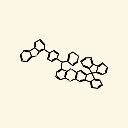 C1=CC(N(c2ccc(-c3cccc4c3oc3ccccc34)cc2)c2cccc3c2Oc2cc4c(cc2O3)-c2ccccc2C42c3ccccc3-c3ccccc32)=CCC1